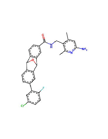 Cc1cc(N)nc(C)c1CNC(=O)c1ccc2c(c1)C1OC2c2ccc(-c3cc(Cl)ccc3F)cc21